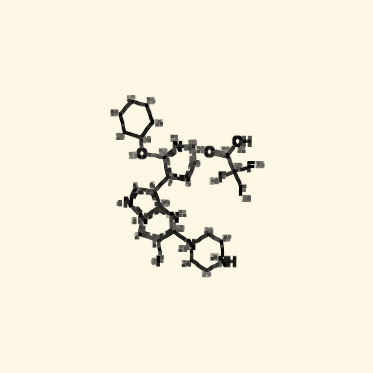 Fc1cn2ncc(-c3cccnc3OC3CCCCC3)c2nc1N1CCNCC1.O=C(O)C(F)(F)F